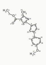 CCOC(=O)c1sc(-c2ccc(-c3ccc(OC)cc3)s2)nc1C